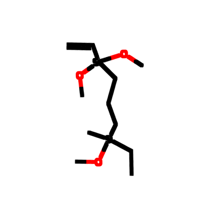 C=C[Si](CCC[Si](C)(CC)OC)(OC)OC